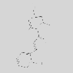 Cc1ccccc1/C=C/C(=O)c1c(C)cc(O)cc1C